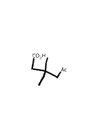 CC(=O)CC(C)(C)CC(=O)O